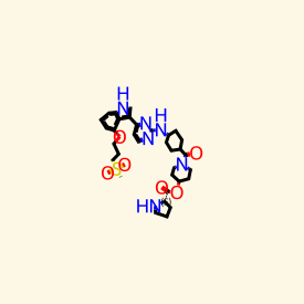 CS(=O)(=O)CCCOc1cccc2[nH]cc(-c3ccnc(NC4CCC(C(=O)N5CCC(OC(=O)[C@@H]6CCCN6)CC5)CC4)n3)c12